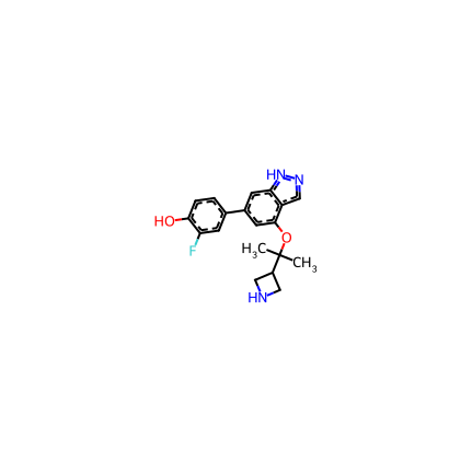 CC(C)(Oc1cc(-c2ccc(O)c(F)c2)cc2[nH]ncc12)C1CNC1